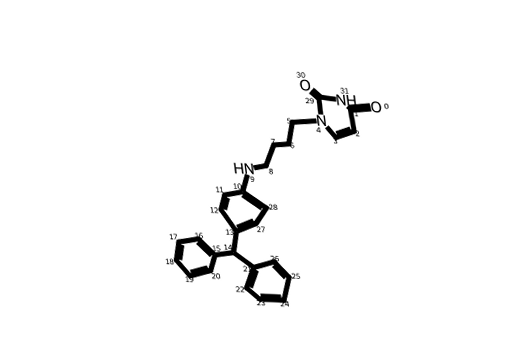 O=c1ccn(CCCCNc2ccc(C(c3ccccc3)c3ccccc3)cc2)c(=O)[nH]1